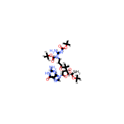 CC(C)(C)OC(=O)N=C(N)N(CCCO[C@H]1[C@H](n2cnc3c(=O)[nH]c(N)nc32)O[C@H](C(=[SiH2])OC(C)(C)C)[C@]1(O)C(C)(C)C)C(=O)OC(C)(C)C